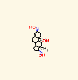 CC12CC/C(=N/O)C=C1CCC1C2C(O)CC2(C)/C(=N/O)CCC12